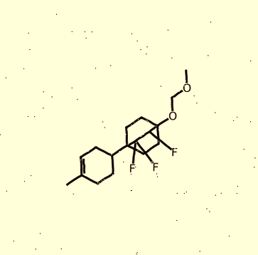 COCOC12CCC(C3CC=C(C)CC3)(CC1)C(F)(F)C2F